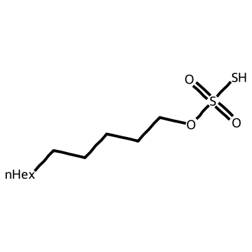 CCCCCCCCCCCOS(=O)(=O)S